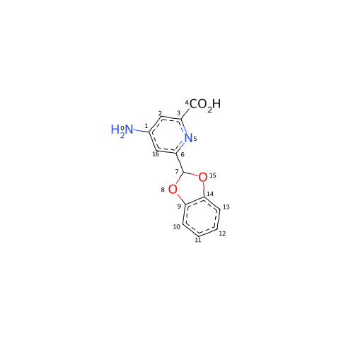 Nc1cc(C(=O)O)nc(C2Oc3ccccc3O2)c1